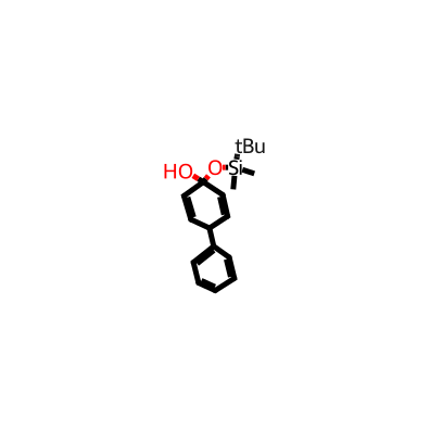 CC(C)(C)[Si](C)(C)OC1(O)C=CC(c2ccccc2)C=C1